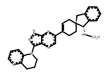 O=C(O)N[C@H]1c2ccccc2C[C@@]12CC=C(c1cnc3c(N4CCCc5ncccc54)n[nH]c3n1)CC2